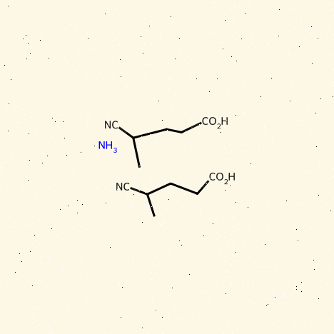 CC(C#N)CCC(=O)O.CC(C#N)CCC(=O)O.N